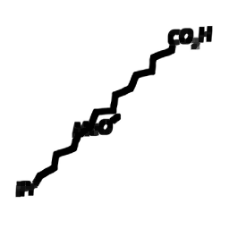 CC(C)CCCCCCCCCCCCCCC(=O)O.COC